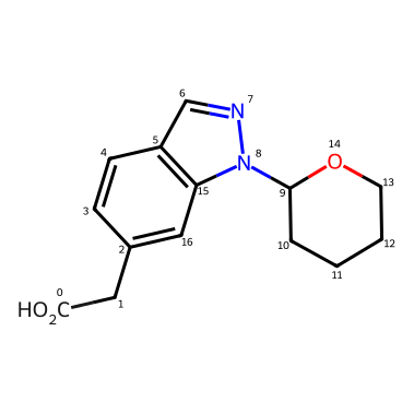 O=C(O)Cc1ccc2cnn(C3CCCCO3)c2c1